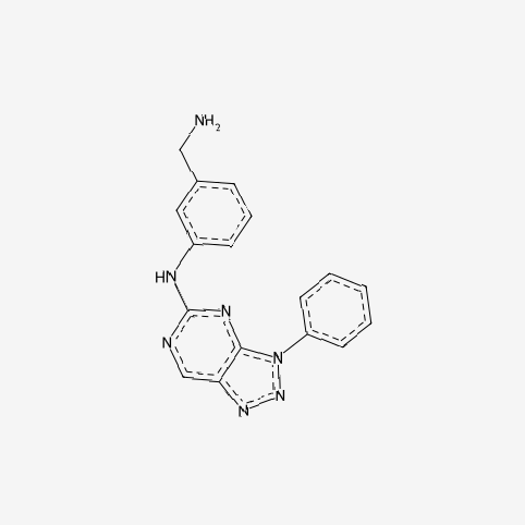 NCc1cccc(Nc2ncc3nnn(-c4ccccc4)c3n2)c1